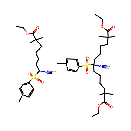 [C-]#[N+]C(CCCCC(C)(C)C(=O)OCC)(CCCCC(C)(C)C(=O)OCC)S(=O)(=O)c1ccc(C)cc1.[C-]#[N+]C(CCCCC(C)(C)C(=O)OCC)S(=O)(=O)c1ccc(C)cc1